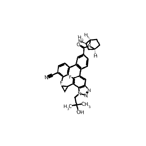 CC(C)(O)Cn1nnc2cc(-c3ccc(C(=O)N4[C@H]5CC[C@@H]4[C@H](N)C5)cc3-c3ccc(C#N)c(F)c3)c(F)c(C3CC3)c21